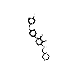 O=c1c(Cl)c(NCC2COCCS2)cnn1-c1ccc(Oc2ccc(F)cc2)cc1